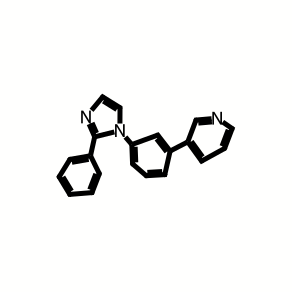 c1ccc(-c2nccn2-c2cccc(-c3cccnc3)c2)cc1